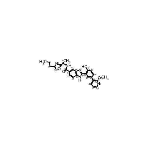 CCCc1noc(C(C)NC(=O)c2ccc3[nH]c(-c4cc(-c5cccnc5OC)ccc4O)nc3c2)n1